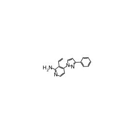 C=Cc1c(-n2ccc(-c3ccccc3)n2)ccnc1N